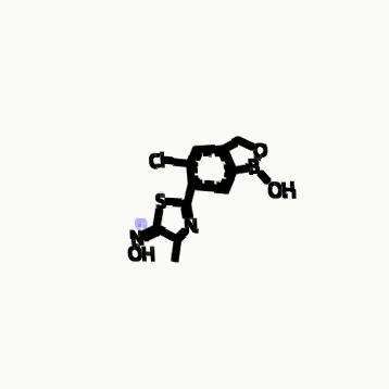 CC1N=C(c2cc3c(cc2Cl)COB3O)S/C1=N/O